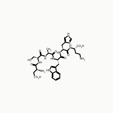 C[C@H](NC(=O)[C@H](CS)NC(=O)[C@@H](N)CC(=O)O)C(=O)N[C@@H](Cc1c[nH]c2ccccc12)C(=O)N[C@@H](Cc1c[nH]cn1)C(=O)N[C@@H](CCN)C(=O)O